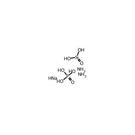 N.N.O=P(O)(O)O.O=[Si](O)O.[NaH]